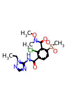 CCn1ncnc1NC(=O)c1ccc(S(C)(=O)=O)c(C(=O)N(C)OC)c1Cl